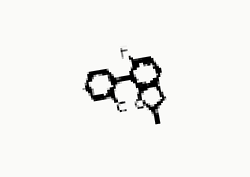 CC1Cc2ccc(F)c(-c3ccccc3Cl)c2O1